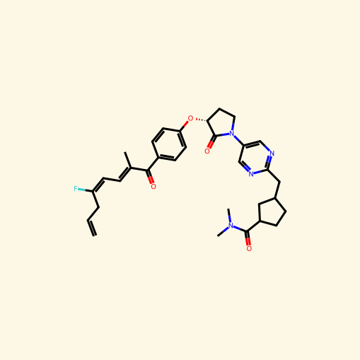 C=CC/C(F)=C\C=C(/C)C(=O)c1ccc(O[C@@H]2CCN(c3cnc(CC4CCC(C(=O)N(C)C)C4)nc3)C2=O)cc1